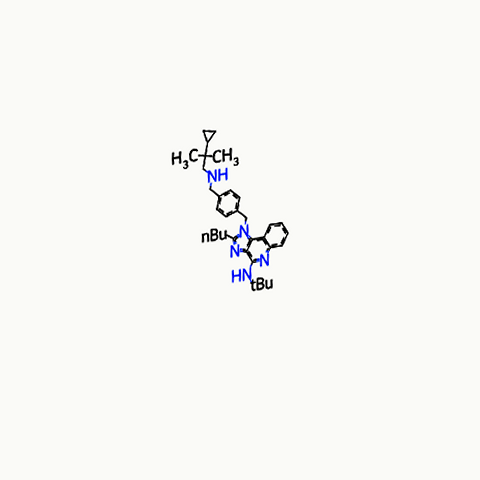 CCCCc1nc2c(NC(C)(C)C)nc3ccccc3c2n1Cc1ccc(CNCC(C)(C)C2CC2)cc1